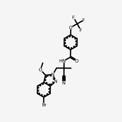 COc1c2ccc(Br)cc2nn1CC(C)(C#N)NC(=O)c1ccc(OC(F)(F)F)cc1